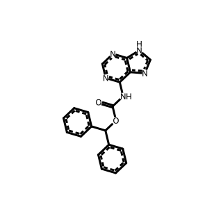 O=C(Nc1ncnc2[nH]cnc12)OC(c1ccccc1)c1ccccc1